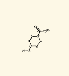 CC(C)OC1CCN(C(=O)C(C)C)CC1